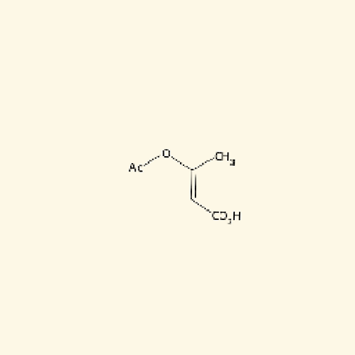 CC(=O)OC(C)=CC(=O)O